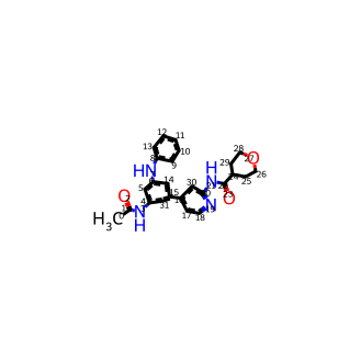 CC(=O)Nc1cc(Nc2ccccc2)cc(-c2ccnc(NC(=O)C3CCOCC3)c2)c1